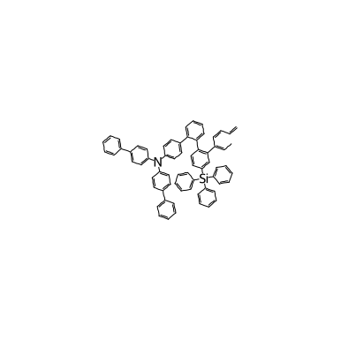 C=C/C=C\C(=C/C)c1cc([Si](c2ccccc2)(c2ccccc2)c2ccccc2)ccc1-c1ccccc1-c1ccc(N(c2ccc(-c3ccccc3)cc2)c2ccc(-c3ccccc3)cc2)cc1